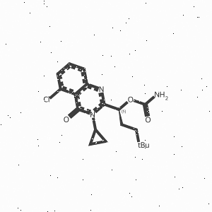 CC(C)(C)CC[C@H](OC(N)=O)c1nc2cccc(Cl)c2c(=O)n1C1CC1